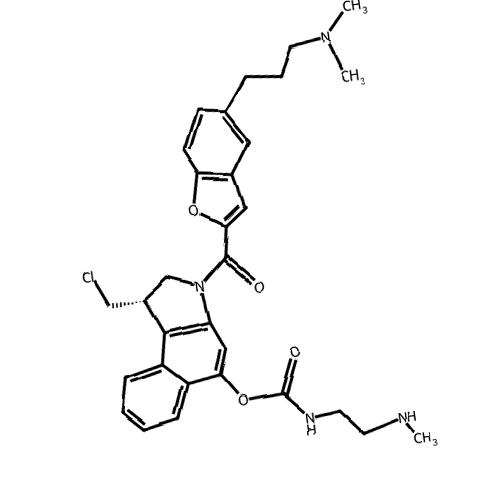 CNCCNC(=O)Oc1cc2c(c3ccccc13)[C@H](CCl)CN2C(=O)c1cc2cc(CCCN(C)C)ccc2o1